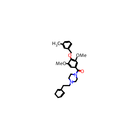 COc1cc(C(=O)N2CCN(CCC3=CCCC=C3)CC2)cc(OC)c1OCc1cccc(C)c1